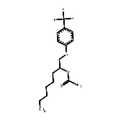 NCCCCCC(CSc1ccc(C(F)(F)F)cc1)OC(N)=O